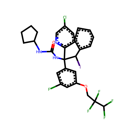 O=C(NC1CCCC1)NC(c1cc(F)cc(OCC(F)(F)C(F)F)c1)(c1ccc(Cl)cn1)C(I)c1ccccc1